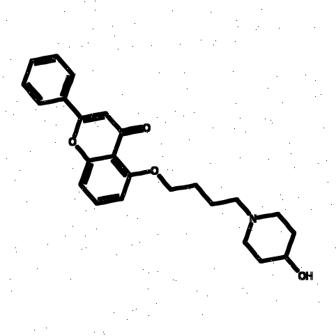 O=c1cc(-c2ccccc2)oc2cccc(OCCCCN3CCC(O)CC3)c12